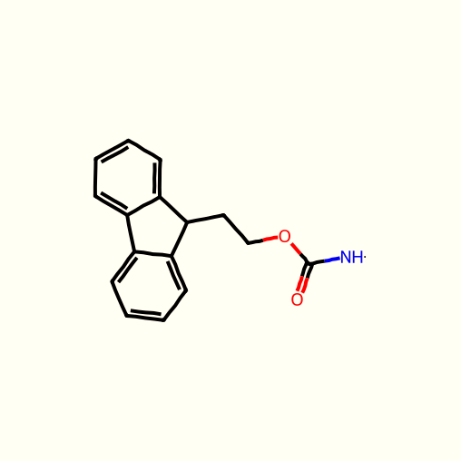 [NH]C(=O)OCCC1c2ccccc2-c2ccccc21